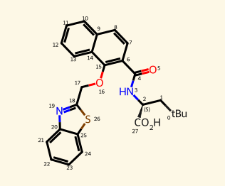 CC(C)(C)C[C@H](NC(=O)c1ccc2ccccc2c1OCc1nc2ccccc2s1)C(=O)O